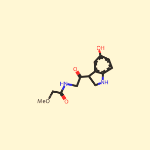 COCC(=O)NCC(=O)C1CNc2ccc(O)cc21